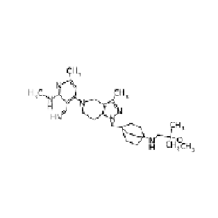 CNc1nc(C)cc(N2CCc3c(c(C)nn3CC34CCC(NCC(C)(C)OC)(CC3)CC4)C2)c1C=N